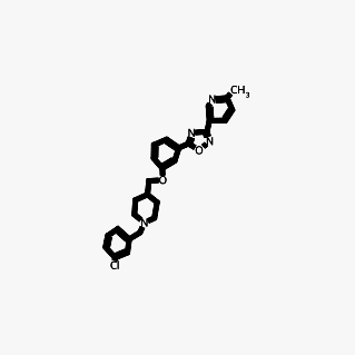 Cc1ccc(-c2noc(-c3cccc(OCC4CCN(Cc5cccc(Cl)c5)CC4)c3)n2)cn1